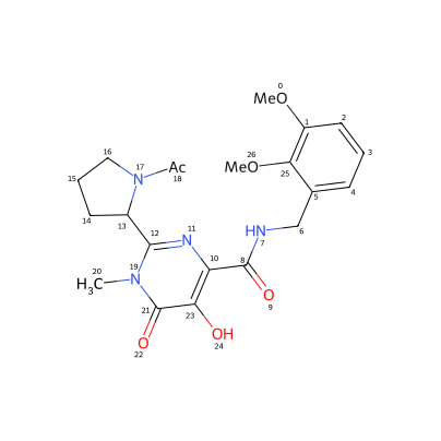 COc1cccc(CNC(=O)c2nc(C3CCCN3C(C)=O)n(C)c(=O)c2O)c1OC